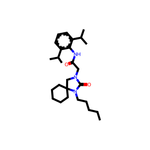 CCCCCN1C(=O)N(CC(=O)Nc2c(C(C)C)cccc2C(C)C)CC12CCCCC2